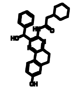 O=C(CC1CCCCC1)Nc1nc2c(nc1C(O)c1ccccc1)-c1ccc(O)cc1CC2